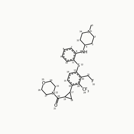 CN1CCC(Nc2ccccc2Sc2ccc(C3CC3C(=O)N3CCOCC3)c(C(F)(F)F)c2CF)CC1